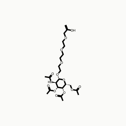 C=C(O)COCCOCCOCCO[C@@H]1O[C@H](COC(C)=O)[C@H](OC(C)=O)[C@H](OC(C)=O)[C@H]1NC(C)=O